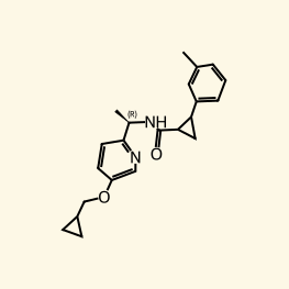 Cc1cccc(C2CC2C(=O)N[C@H](C)c2ccc(OCC3CC3)cn2)c1